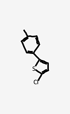 Cc1ccc(-c2ccc(Cl)s2)cc1